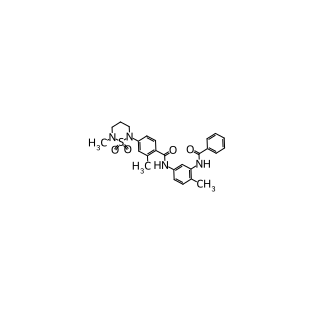 Cc1ccc(NC(=O)c2ccc(N3CCCN(C)S3(=O)=O)cc2C)cc1NC(=O)c1ccccc1